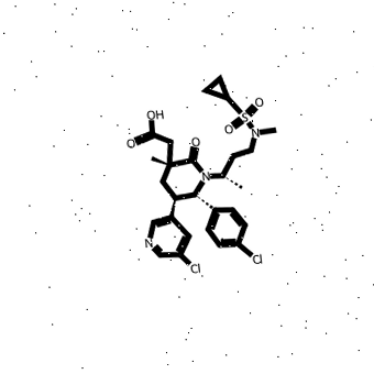 C[C@@H](CCN(C)S(=O)(=O)C1CC1)N1C(=O)[C@@](C)(CC(=O)O)C[C@H](c2cncc(Cl)c2)[C@H]1c1ccc(Cl)cc1